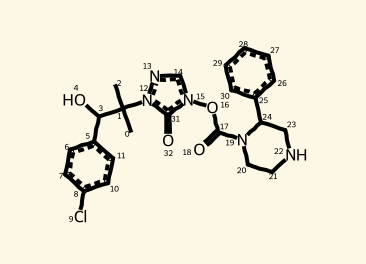 CC(C)(C(O)c1ccc(Cl)cc1)n1ncn(OC(=O)N2CCNCC2c2ccccc2)c1=O